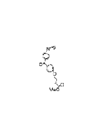 COC(=O)CCCOc1ccc(C(=O)c2ccc(N=C=S)cc2)cc1